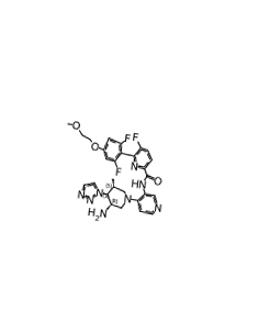 COCCOc1cc(F)c(-c2nc(C(=O)Nc3cnccc3N3C[C@@H](N)[C@@H](n4ccnn4)[C@@H](C)C3)ccc2F)c(F)c1